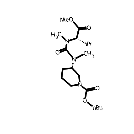 CCCCOC(=O)N1CCC[C@H](N(C)C(=O)N(C)[C@H](C(=O)OC)C(C)C)C1